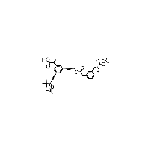 CC(C(=O)O)c1cc(C#CCOC(=O)Cc2cccc(CNC(=O)OC(C)(C)C)c2)cc(C#CC(O[SiH](C)C)C(C)(C)C)c1